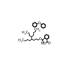 CCCCC(CCC)C(CCCC)CCCOC(=O)c1ccccc1C(=O)O.c1ccc(Oc2ccccc2)cc1